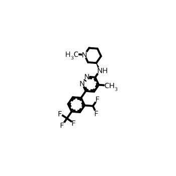 Cc1cc(-c2ccc(C(F)(F)F)cc2C(F)F)nnc1N[C@@H]1CCCN(C)C1